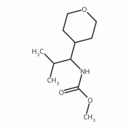 COC(=O)NC(C(C)C)C1CCOCC1